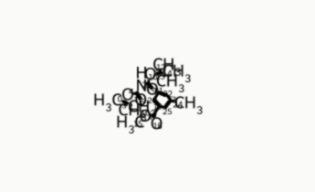 CC(C)(C)OC(=O)NC(=O)OC(C)(C)C.COC(=O)c1cccc(C)c1